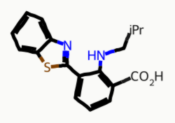 CC(C)CNc1c(C(=O)O)cccc1-c1nc2ccccc2s1